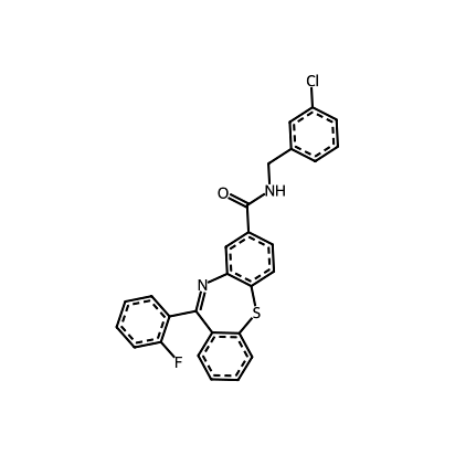 O=C(NCc1cccc(Cl)c1)c1ccc2c(c1)N=C(c1ccccc1F)c1ccccc1S2